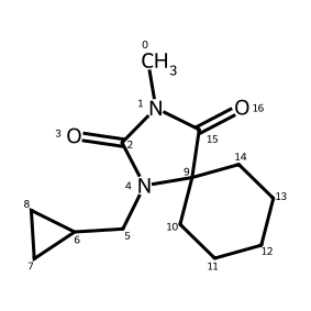 CN1C(=O)N(CC2CC2)C2(CCCCC2)C1=O